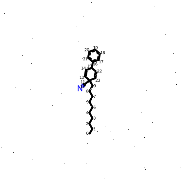 CCCCCCCCCCC1(C#N)C=CC(c2ccccc2)C=C1